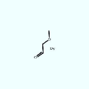 COCC=O.[Dy]